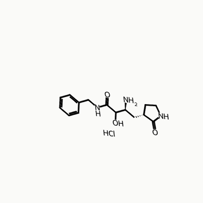 Cl.N[C@@H](C[C@@H]1CCNC1=O)C(O)C(=O)NCc1ccccc1